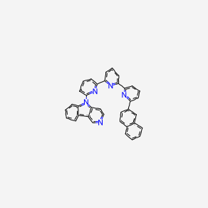 c1cc(-c2ccc3ccccc3c2)nc(-c2cccc(-c3cccc(-n4c5ccccc5c5cnccc54)n3)n2)c1